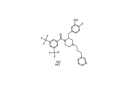 Cl.Cl.O=C(c1cc(C(F)(F)F)cc(C(F)(F)F)c1)N1CCN(CCCc2cccnc2)CC1Cc1ccc(F)c(O)c1